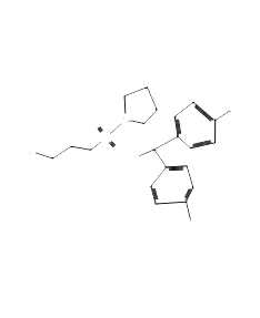 CC(c1ccc(F)cc1)(c1ccc(F)cc1)[C@H]1CCCN1S(=O)(=O)CCCBr